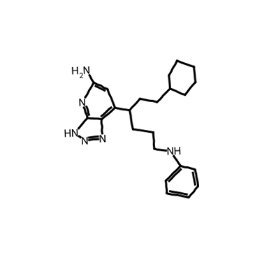 Nc1cc(C(CCCNc2ccccc2)CCC2CCCCC2)c2nn[nH]c2n1